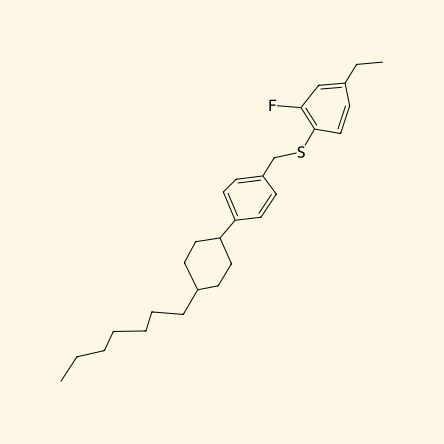 CCCCCCCC1CCC(c2ccc(CSc3ccc(CC)cc3F)cc2)CC1